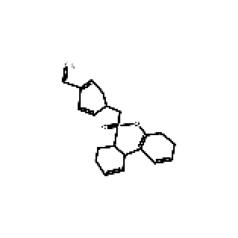 C=CC1=CCC(CP2(=O)OC3=C(C=CCC3)C3C=CCCC32)C=C1